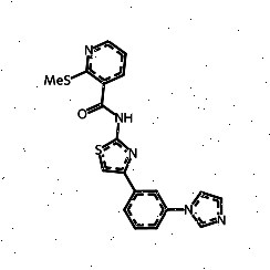 CSc1ncccc1C(=O)Nc1nc(-c2cccc(-n3ccnc3)c2)cs1